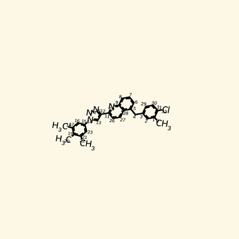 Cc1cc(Cc2cccc3nc(-c4cn(-c5cc(C)c(C)c(C)c5)nn4)ccc23)ccc1Cl